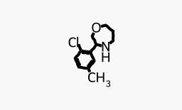 Cc1ccc(Cl)c(C2COCCCN2)c1